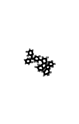 c1ccc(N(c2ccccc2)c2ccc(-c3cccc4c3-c3ccccc3C43c4ccccc4-c4ccccc43)cc2)cc1